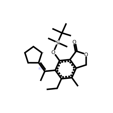 CCc1c(C)c2c(c(O[Si](C)(C)C(C)(C)C)c1/C(C)=C1\[CH]CCC1)C(=O)OC2